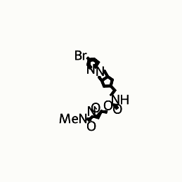 CNC(=O)c1cc(COC(=O)NCCC2CC3CN(c4ccc(Br)cn4)CC3C2)on1